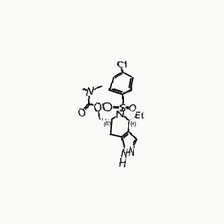 CC[C@@H]1c2cn[nH]c2C[C@H](COC(=O)N(C)C)N1S(=O)(=O)c1ccc(Cl)cc1